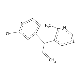 C=CC(c1ccnc(Cl)c1)c1c[c]cnc1C(F)(F)F